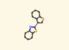 [c]1sc2ccccc2c1-c1nc2ccccc2s1